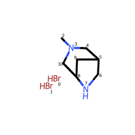 Br.Br.CN1CC2CNC(C2)C1